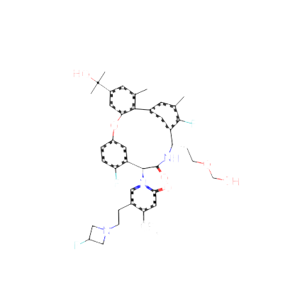 Cc1cc2cc(c1F)[C@H](CCOCO)NC(=O)[C@@H](n1cc(CCN3CC(F)C3)c(C(F)(F)F)cc1=O)c1cc(ccc1F)Oc1cc(C(C)(C)O)cc(C)c1-2